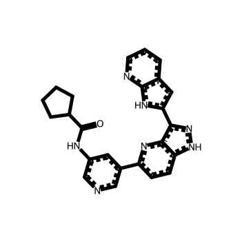 O=C(Nc1cncc(-c2ccc3[nH]nc(-c4cc5cccnc5[nH]4)c3n2)c1)C1CCCC1